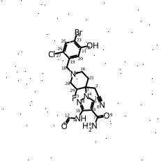 N#CCC1(n2cc(C(N)=O)c(NC=O)n2)CCN(Cc2cc(O)c(Br)cc2Cl)CC1F